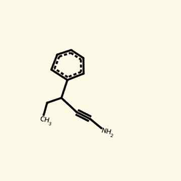 CCC(C#CN)c1ccccc1